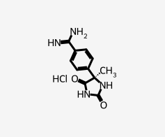 C[C@]1(c2ccc(C(=N)N)cc2)NC(=O)NC1=O.Cl